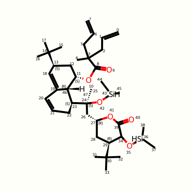 C=CCC(C)(CC=C)C(=O)O[C@H]1C[C@H](C(C)(C)C)C=C2C=CC[C@H]([C@](C)(C[C@H]3C[C@H](C(C)(C)C)C(O[SiH](C)C)C(=O)O3)O[SiH](C)C)[C@H]21